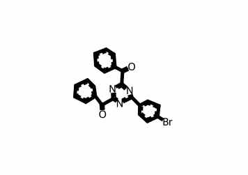 O=C(c1ccccc1)c1nc(C(=O)c2ccccc2)nc(-c2ccc(Br)cc2)n1